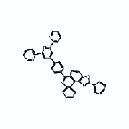 c1ccc(-c2nc3c(ccc4c(-c5ccc(-c6cc(-c7ccccn7)nc(-c7ccccn7)c6)cc5)nc5ccccc5c43)o2)cc1